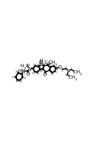 CCN(CC)CCOc1ccc2c(c1)C(C)(C)c1[nH]c3cc(N(C)C(=O)Nc4ccccc4)ccc3c1C2=O